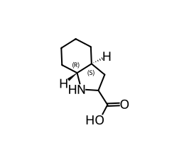 O=C(O)C1C[C@@H]2CCCC[C@H]2N1